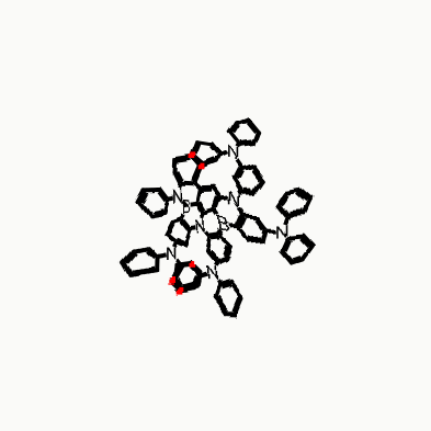 c1ccc(N2B3c4ccc(N(c5ccccc5)c5ccccc5)cc4N4c5cc(N(c6ccccc6)c6ccccc6)ccc5B5c6ccc(N(c7ccccc7)c7ccccc7)cc6N(c6cccc(N(c7ccccc7)c7ccccc7)c6)c6cc(c3c4c65)-c3ccccc32)cc1